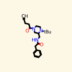 C#CCCC(=O)N1CCN(C(C)(C)C)C(CNC(=O)Cc2ccccc2)C1